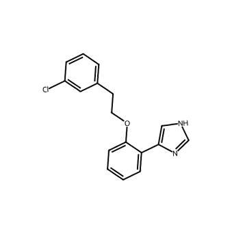 Clc1cccc(CCOc2ccccc2-c2c[nH]cn2)c1